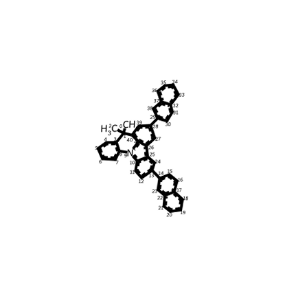 CC1(C)c2ccccc2-n2c3ccc(-c4ccc5ccccc5c4)cc3c3cc(-c4ccc5ccccc5c4)cc1c32